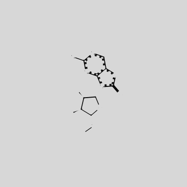 Nc1ncc2sc(=O)n([C@@H]3O[C@H](CO)[C@@H](O)[C@H]3O)c2n1